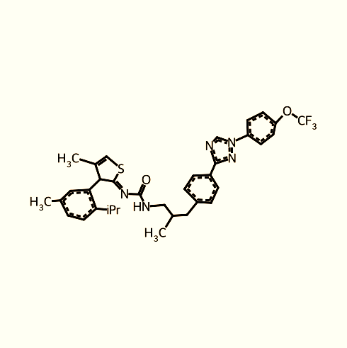 CC1=CS/C(=N\C(=O)NCC(C)Cc2ccc(-c3ncn(-c4ccc(OC(F)(F)F)cc4)n3)cc2)C1c1cc(C)ccc1C(C)C